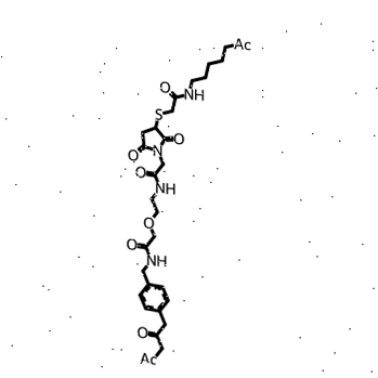 CC(=O)CCCCCNC(=O)CSC1CC(=O)N(CC(=O)NCCOCC(=O)NCc2ccc(CC(=O)CC(C)=O)cc2)C1=O